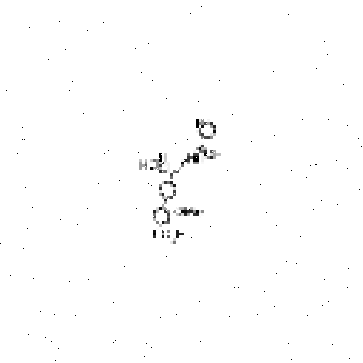 COc1cc(C(=O)O)ccc1-c1ccc(CCCNC[C@@H](O)c2cccnc2)cc1.Cl.Cl